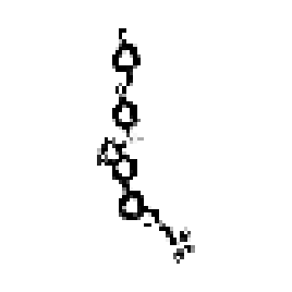 CS(=O)(=O)CCNCc1cccc(-c2ccc3c(Nc4ccc(OCc5ccc(F)cc5)cc4)ncnc3c2)c1